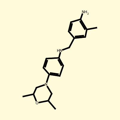 Cc1cc(CNc2ccc(N3CC(C)OC(C)C3)cc2)ccc1N